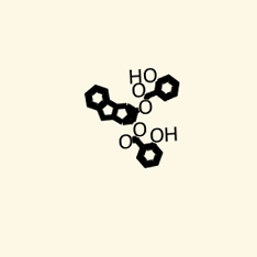 O=C(OC1C2CC(C1OC(=O)c1ccccc1O)C1c3ccccc3CC21)c1ccccc1O